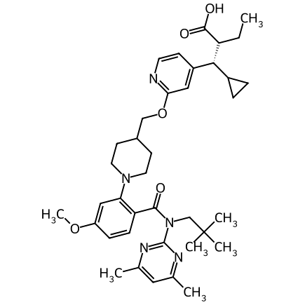 CCC(C(=O)O)[C@@H](c1ccnc(OCC2CCN(c3cc(OC)ccc3C(=O)N(CC(C)(C)C)c3nc(C)cc(C)n3)CC2)c1)C1CC1